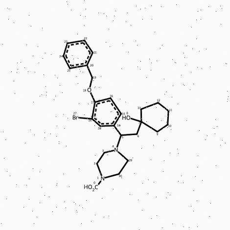 O=C(O)N1CCN(C(CC2(O)CCCCC2)c2ccc(OCc3ccccc3)c(Br)c2)CC1